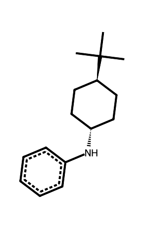 CC(C)(C)[C@H]1CC[C@H](Nc2ccccc2)CC1